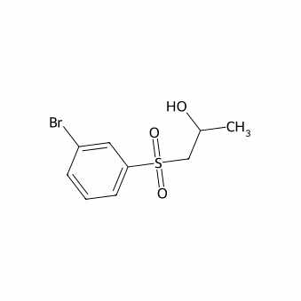 CC(O)CS(=O)(=O)c1cccc(Br)c1